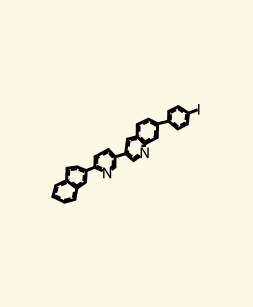 Ic1ccc(-c2ccc3cc(-c4ccc(-c5ccc6ccccc6c5)nc4)cnc3c2)cc1